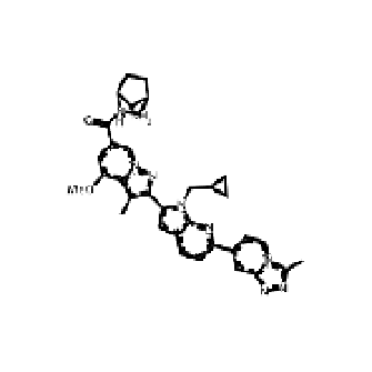 COc1cc(C(=O)N2CC3CCC2[C@@H]3N)cn2nc(-c3cc4ccc(-c5ccn6c(C)nnc6c5)nc4n3CC3CC3)c(C)c12